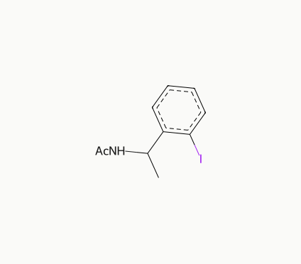 CC(=O)NC(C)c1ccccc1I